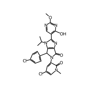 COc1ncc(-c2nc3c(n2C(C)C)C(c2ccc(Cl)cc2)N(c2cc(Cl)cn(C)c2=O)C3=O)c(O)n1